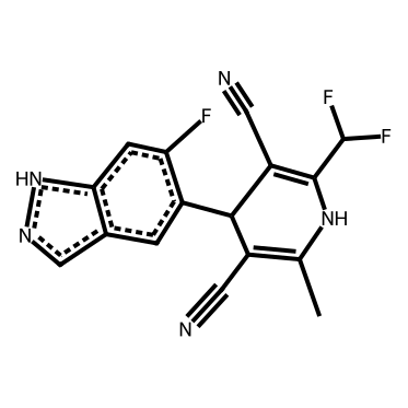 CC1=C(C#N)C(c2cc3cn[nH]c3cc2F)C(C#N)=C(C(F)F)N1